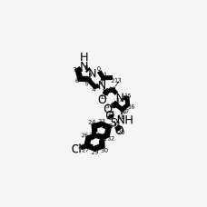 CC(C)N(Cc1cc[nH]n1)C(=O)[C@H](C)N1CC[C@H](NS(=O)(=O)c2ccc3cc(Cl)ccc3c2)C1=O